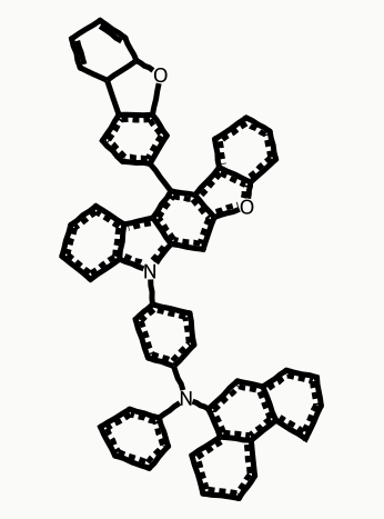 C1=CC2Oc3cc(-c4c5c(cc6c4c4ccccc4n6-c4ccc(N(c6ccccc6)c6cc7ccccc7c7ccccc67)cc4)oc4ccccc45)ccc3C2C=C1